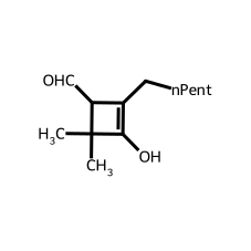 CCCCCCC1=C(O)C(C)(C)C1C=O